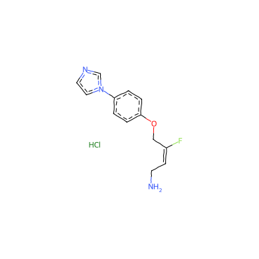 Cl.NC/C=C(/F)COc1ccc(-n2ccnc2)cc1